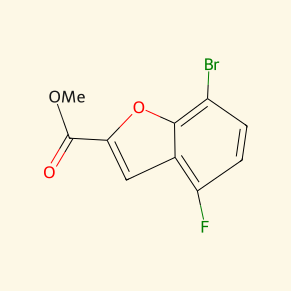 COC(=O)c1cc2c(F)ccc(Br)c2o1